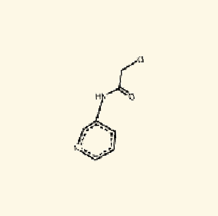 O=C(CCl)Nc1cccnc1